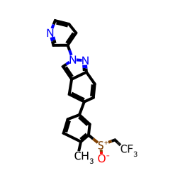 Cc1ccc(-c2ccc3nn(-c4cccnc4)cc3c2)cc1[S+]([O-])CC(F)(F)F